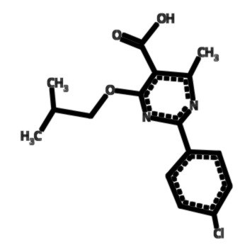 Cc1nc(-c2ccc(Cl)cc2)nc(OCC(C)C)c1C(=O)O